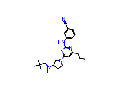 CCCc1cc(N2CCC(NCC(C)(C)C)C2)nc(Nc2cccc(C#N)c2)n1